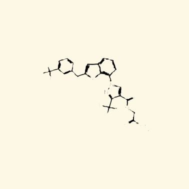 NC(=O)CNC(=O)c1cn(-c2cccc3cc(Cc4cccc(C(F)(F)F)c4)sc23)nc1C(F)(F)F